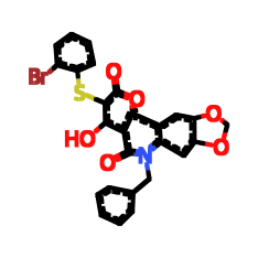 O=c1oc2c(c(O)c1Sc1ccccc1Br)c(=O)n(Cc1ccccc1)c1cc3c(cc21)OCO3